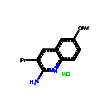 COc1ccc2nc(N)c(C(C)C)cc2c1.Cl